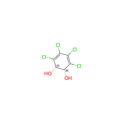 O[C@@H]1C(Cl)=C(Cl)C(Cl)=C(Cl)[C@@H]1O